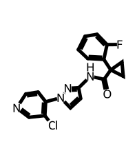 O=C(Nc1ccn(-c2ccncc2Cl)n1)C1(c2ccccc2F)CC1